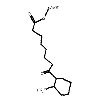 CCCCCSC(=O)CCCCCCC(=O)C1CCCCC1C(=O)O